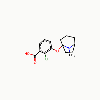 CN1C2CCCC1(Oc1cccc(C(=O)O)c1Cl)CC2